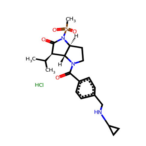 CC(C)[C@H]1C(=O)N(S(C)(=O)=O)[C@H]2CCN(C(=O)c3ccc(CNC4CC4)cc3)[C@H]12.Cl